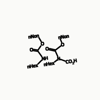 CCCCCCCCCOC(=O)N(CCCCCC)C(=O)O.CCCCCCCCCOC(=O)NCCCCCC